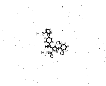 Cc1ccnn1-c1ccc(Nc2cn(-c3c(Cl)cccc3Cl)nc2C(N)=O)cc1